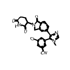 Cn1cnc(-c2ccc3c(c2)CN(C2CCC(=O)NC2=O)C3=O)c1-c1cc(Cl)cc(C#N)c1